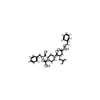 CC(C)C[C@H](CC(=O)NOCc1ccccc1)C(=O)N1CCN(C(=O)O)[C@H](C(=O)OCc2ccccc2)C1